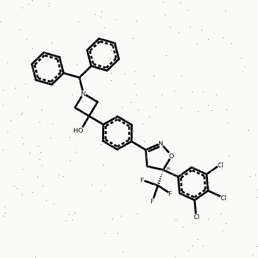 OC1(c2ccc(C3=NO[C@](c4cc(Cl)c(Cl)c(Cl)c4)(C(F)(F)F)C3)cc2)CN(C(c2ccccc2)c2ccccc2)C1